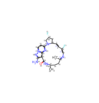 C\C1=N/C=C(F)\C=C\C2C[C@@H](F)CN2c2ccn3nc(N)c(c3n2)C(=O)N[C@H](C)CC1